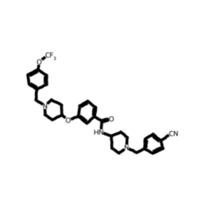 N#Cc1ccc(CN2CCC(NC(=O)c3cccc(OC4CCN(Cc5ccc(OC(F)(F)F)cc5)CC4)c3)CC2)cc1